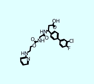 O=C(O)CC(NC(=O)CNC(=O)OCCNc1ccccn1)c1ccc(-c2ccc(F)c(Cl)c2)cc1